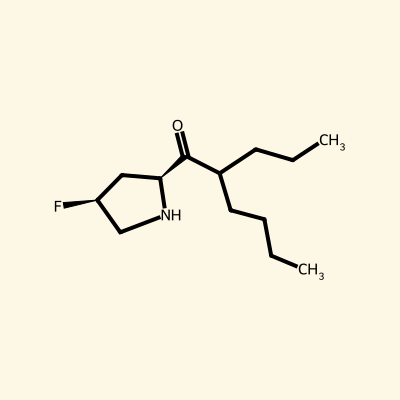 CCCCC(CCC)C(=O)[C@@H]1C[C@H](F)CN1